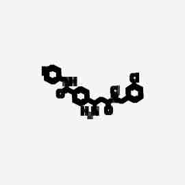 NC(CC(=O)N(Cl)Cc1cccc(Cl)c1)c1ccc(C(=O)Nc2ccncc2)cc1